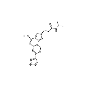 CC(C)NC(=O)CCn1cc2c(N)nc3cc(-c4cc[nH]n4)ccc3c2n1